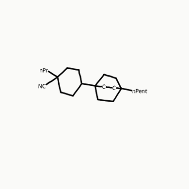 CCCCCC12CCC(C3CCC(C#N)(CCC)CC3)(CC1)CC2